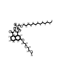 CCCCCCCCCCCCCOCS(=O)(=O)ON1C(=O)c2cccc3cc(OCCOCCOC)cc(c23)C1=O